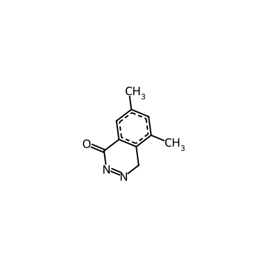 Cc1cc(C)c2c(c1)C(=O)N=NC2